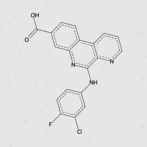 O=C(O)c1ccc2c(c1)nc(Nc1ccc(F)c(Cl)c1)c1ncccc12